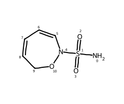 NS(=O)(=O)N1C=CC=CCO1